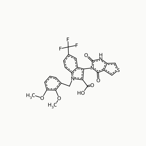 COc1cccc(Cn2c(C(=O)O)c(-n3c(=O)[nH]c4cscc4c3=O)c3cc(C(F)(F)F)ccc32)c1OC